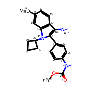 CCCOC(=O)Nc1ccc(-c2c(N)c3ccc(OC)cc3n2C2CCC2)cc1